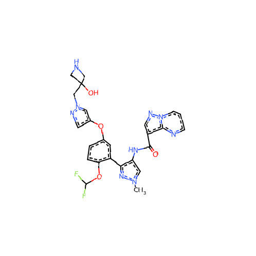 Cn1cc(NC(=O)c2cnn3cccnc23)c(-c2cc(Oc3cnn(CC4(O)CNC4)c3)ccc2OC(F)F)n1